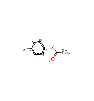 CCCCC(=O)Sc1ccc(C)cc1